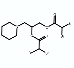 O=C(OCC(CN1CCCCC1)OC(=O)C(Br)Br)C(Br)Br